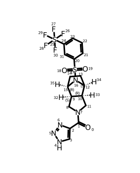 O=C(c1c[nH]nn1)N1C[C@@H]2[C@H](C1)[C@@H]1CC[C@H]2N1S(=O)(=O)c1cccc(S(F)(F)(F)(F)F)c1